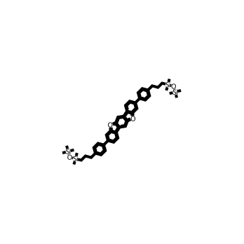 C[Si](C)(C)O[Si](C)(C)CCCc1ccc(-c2ccc3c(c2)oc2cc4c(cc23)oc2cc(-c3ccc(CCC[Si](C)(C)O[Si](C)(C)C)cc3)ccc24)cc1